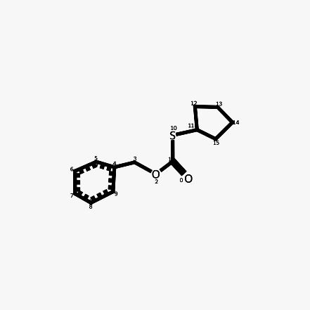 O=C(OCc1ccccc1)SC1CCCC1